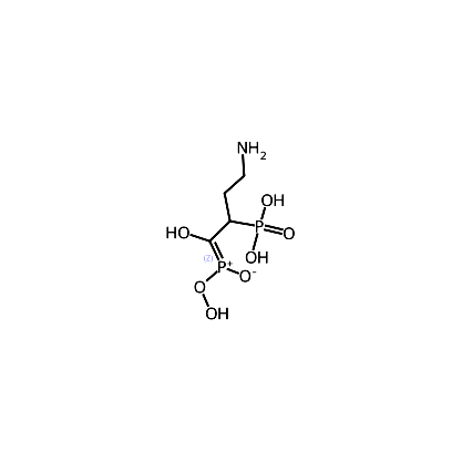 NCCC(/C(O)=[P+](\[O-])OO)P(=O)(O)O